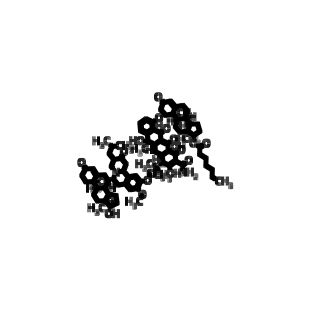 CCCCCCC(=O)O[C@H]1CC[C@H]2[C@@H]3CCC4=CC(=O)CC[C@]4(C)[C@H]3CC[C@]12C.CN(C)[C@@H]1C(O)=C(C(N)=O)C(=O)[C@@]2(O)C(O)=C3C(=O)c4c(O)cccc4[C@@](C)(O)[C@H]3C[C@@H]12.COc1cc2c(cc1OC)C1CC(=O)C(CC(C)C)CN1CC2.C[C@]12CC[C@H]3[C@@H](CCC4=CC(=O)CC[C@@]43C)[C@@H]1CC[C@@H]2O